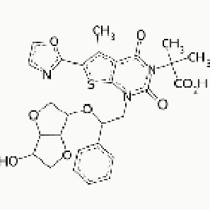 Cc1c(-c2ncco2)sc2c1c(=O)n(C(C)(C)C(=O)O)c(=O)n2CC(OC1COC2C(O)COC12)c1ccccc1